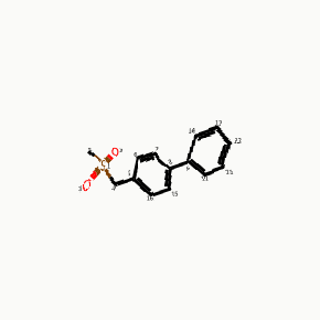 CS(=O)(=O)Cc1ccc(-c2ccccc2)cc1